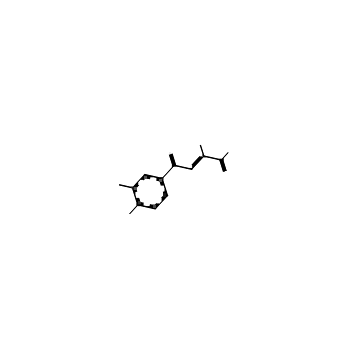 O=C(O)C(O)=CC(=O)c1ccc(F)c(F)c1